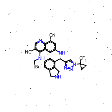 CC(C)(C)CNc1c(C#N)cnc2c(C#N)cc(N[C@H](c3cn(C4(C(F)(F)F)CC4)nn3)c3cccc4c3CNC4)cc12